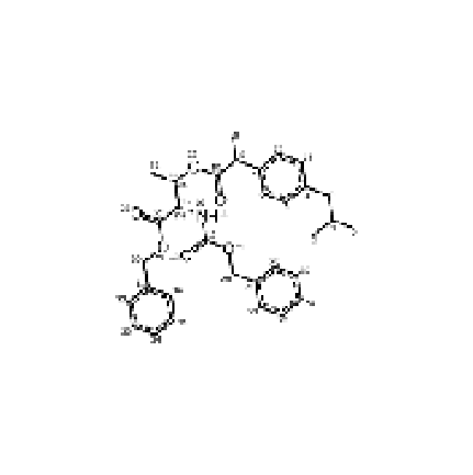 CC(C)Cc1ccc(C(C)C(=O)O[C@H](C)[C@H](NC(=O)OCc2ccccc2)C(=O)OCc2ccccc2)cc1